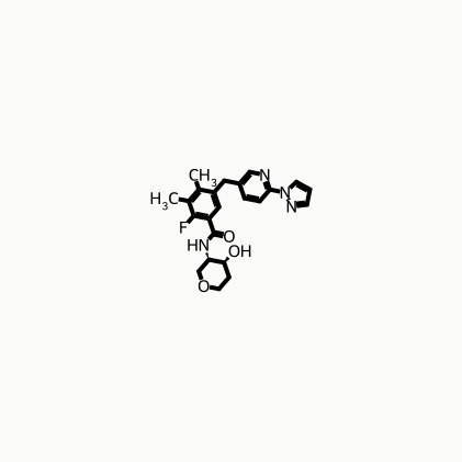 Cc1c(Cc2ccc(-n3cccn3)nc2)cc(C(=O)N[C@H]2COCC[C@@H]2O)c(F)c1C